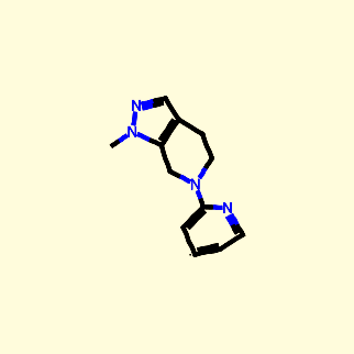 Cn1ncc2c1CN(c1c[c]ccn1)CC2